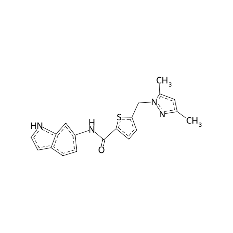 Cc1cc(C)n(Cc2ccc(C(=O)Nc3ccc4cc[nH]c4c3)s2)n1